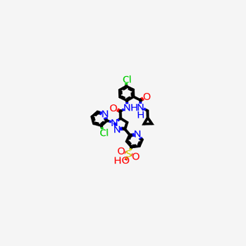 O=C(NCC1CC1)c1cc(Cl)ccc1NC(=O)C1CC(c2cc(S(=O)(=O)O)ccn2)=NN1c1ncccc1Cl